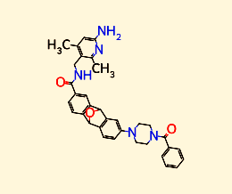 Cc1cc(N)nc(C)c1CNC(=O)c1ccc2c(c1)C1OC2c2ccc(N3CCN(C(=O)c4ccccc4)CC3)cc21